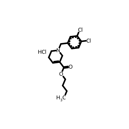 CCCCOC(=O)C1=CCCN(Cc2ccc(Cl)c(Cl)c2)C1.Cl